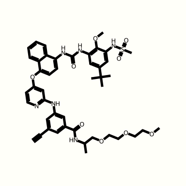 C#Cc1cc(Nc2cc(Oc3ccc(NC(=O)Nc4cc(C(C)(C)C)cc(NS(C)(=O)=O)c4OC)c4ccccc34)ccn2)cc(C(=O)NC(C)COCCOCCOC)c1